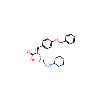 CO/C(=C\c1ccc(OCc2ccccc2)cc1)C(=O)O.NC1CCCCC1